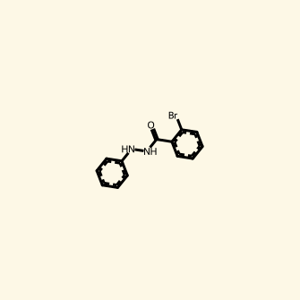 O=C(NNc1ccccc1)c1ccccc1Br